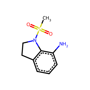 CS(=O)(=O)N1CCc2cccc(N)c21